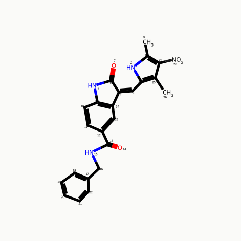 Cc1[nH]c(C=C2C(=O)Nc3ccc(C(=O)NCc4ccccc4)cc32)c(C)c1[N+](=O)[O-]